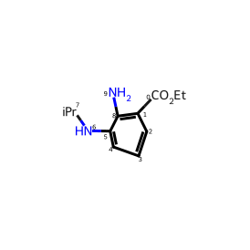 CCOC(=O)c1cccc(NC(C)C)c1N